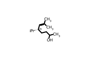 CC(C)=C[C@H](CCC(C)O)C(C)C